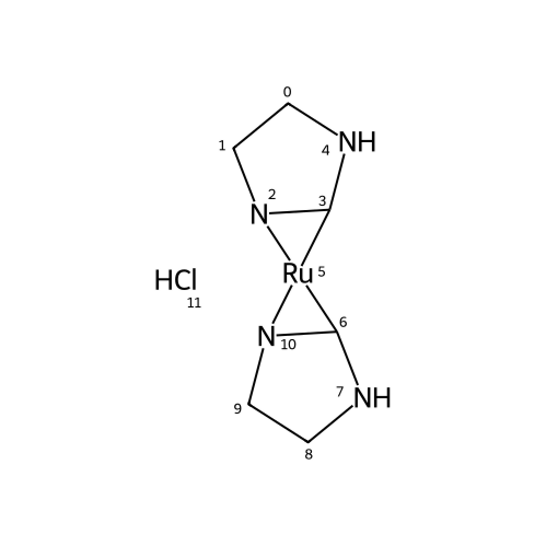 C1C[N]2[CH](N1)[Ru]21[CH]2NCC[N]21.Cl